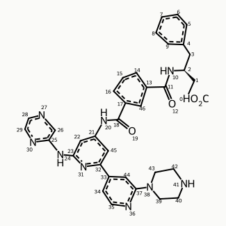 O=C(O)C[C@H](Cc1ccccc1)NC(=O)c1cccc(C(=O)Nc2cc(Nc3cnccn3)nc(-c3ccnc(N4CCNCC4)c3)c2)c1